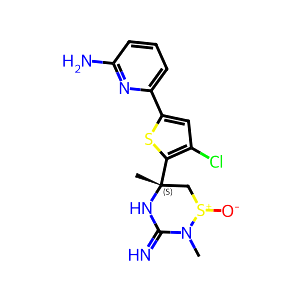 CN1C(=N)N[C@](C)(c2sc(-c3cccc(N)n3)cc2Cl)C[S+]1[O-]